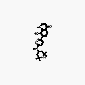 CN(c1ccc(-c2ccc3c(=O)ccn(C)c3c2O)nn1)C1CC(C)(C)NC(C)(C)C1